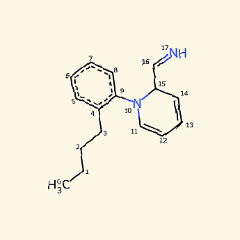 CCCCc1ccccc1N1C=CC=CC1C=N